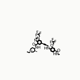 CCN1CC[C@H](NC(=O)c2cc(C#CCNc3ccc(C(=O)NC)cc3OCC(F)(F)F)cc3c2ncn3CC(F)(F)F)[C@@H](C)C1